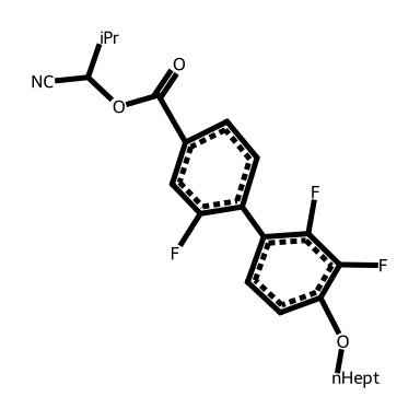 CCCCCCCOc1ccc(-c2ccc(C(=O)OC(C#N)C(C)C)cc2F)c(F)c1F